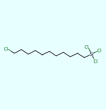 ClCCCCCCCCCCC[Si](Cl)(Cl)Cl